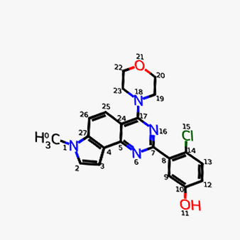 Cn1ccc2c3nc(-c4cc(O)ccc4Cl)nc(N4CCOCC4)c3ccc21